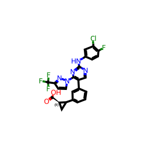 O=C(O)[C@@H]1CC1c1cccc(-c2cnc(Nc3ccc(F)c(Cl)c3)nc2-n2ccc(C(F)(F)F)n2)c1